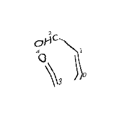 C=CC=O.C=O